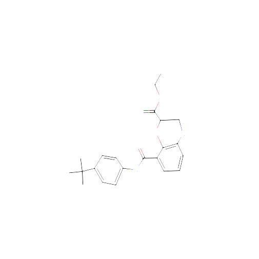 CCOC(=O)C1CNc2cccc(C(=O)Nc3ccc(C(C)(C)C)cc3)c2O1